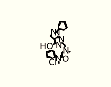 CN(CC(=O)N(C)c1ccccc1Cl)Cc1nc(O)c2cnn(-c3ccccc3)c2n1